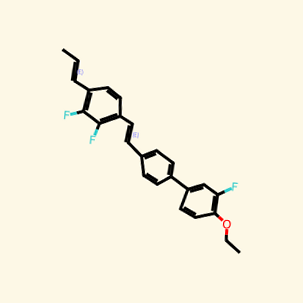 C/C=C/c1ccc(/C=C/c2ccc(-c3ccc(OCC)c(F)c3)cc2)c(F)c1F